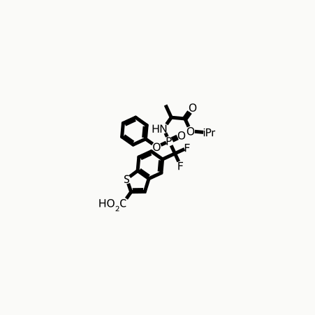 CC(C)OC(=O)C(C)NP(=O)(Oc1ccccc1)C(F)(F)c1ccc2sc(C(=O)O)cc2c1